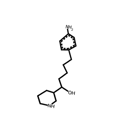 Nc1ccc(CCCCC(O)C2CCCNC2)cc1